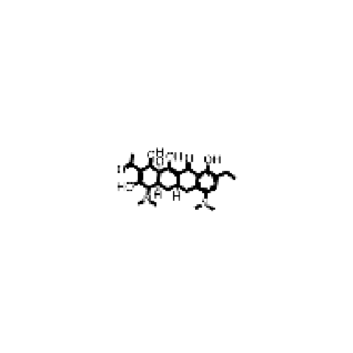 CCc1cc(N(C)C)c2c(c1O)C(=O)C1=C(O)[C@]3(O)C(=O)C(C(C)=O)=C(O)C(N(C)C)[C@@H]3C[C@@H]1C2